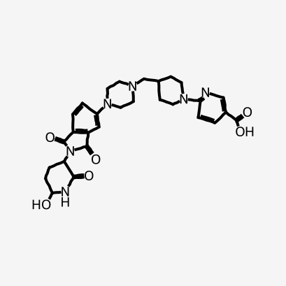 O=C(O)c1ccc(N2CCC(CN3CCN(c4ccc5c(c4)C(=O)N(C4CCC(O)NC4=O)C5=O)CC3)CC2)nc1